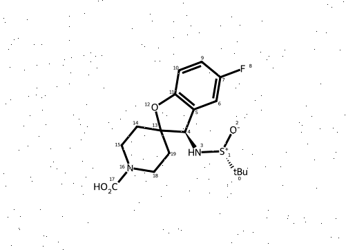 CC(C)(C)[S@@+]([O-])N[C@@H]1c2cc(F)ccc2OC12CCN(C(=O)O)CC2